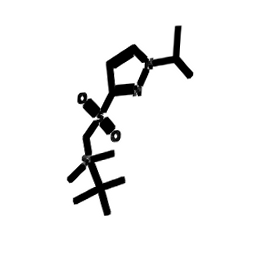 CC(C)n1ccc(S(=O)(=O)C[Si](C)(C)C(C)(C)C)n1